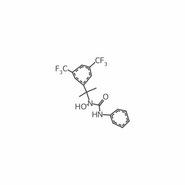 CC(C)(c1cc(C(F)(F)F)cc(C(F)(F)F)c1)N(O)C(=O)Nc1ccccc1